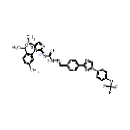 CSc1cs/c(=N\C(=O)N/N=C/c2ccc(-c3ncn(-c4ccc(OC(F)(F)F)cc4)n3)cc2)n1-c1cc(C)ccc1C(C)C